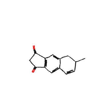 CC1C=Cc2cc3c(cc2C1)C(=O)CC3=O